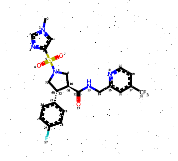 Cn1cnc(S(=O)(=O)N2C[C@@H](C(=O)NCc3cc(C(F)(F)F)ccn3)[C@H](c3ccc(F)cc3)C2)c1